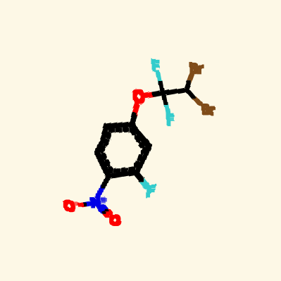 O=[N+]([O-])c1ccc(OC(F)(F)C(Br)Br)cc1F